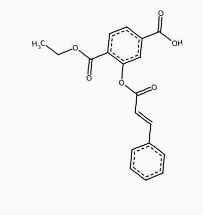 CCOC(=O)c1ccc(C(=O)O)cc1OC(=O)/C=C/c1ccccc1